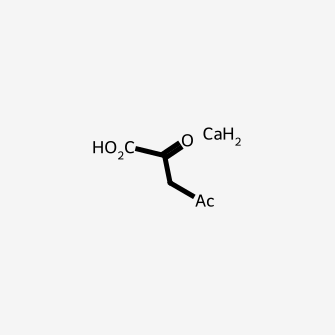 CC(=O)CC(=O)C(=O)O.[CaH2]